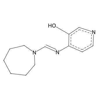 Oc1cnccc1N=CN1CCCCCC1